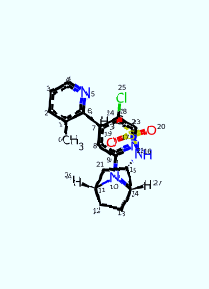 Cc1cccnc1-c1cc(N2[C@@H]3CC[C@H]2[C@@H](NS(C)(=O)=O)C3)ncc1Cl